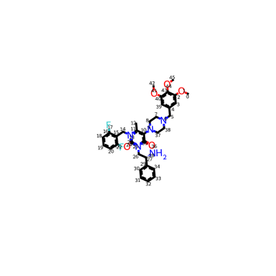 COc1cc(CN2CCN(c3c(C)n(Cc4c(F)cccc4F)c(=O)n(C[C@H](N)c4ccccc4)c3=O)CC2)cc(OC)c1OC